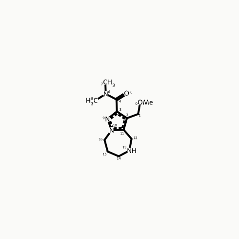 COCc1c(C(=O)N(C)C)nn2c1CNCCC2